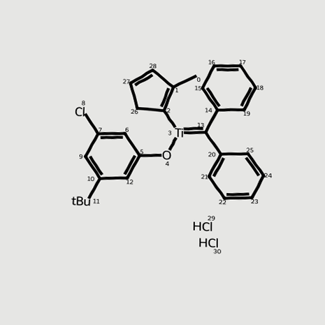 CC1=[C]([Ti]([O]c2cc(Cl)cc(C(C)(C)C)c2)=[C](c2ccccc2)c2ccccc2)CC=C1.Cl.Cl